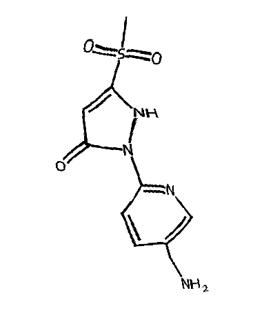 CS(=O)(=O)c1cc(=O)n(-c2ccc(N)cn2)[nH]1